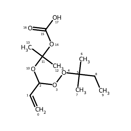 C=CC(OOC(C)(C)CC)OC(C)(C)OC(=O)O